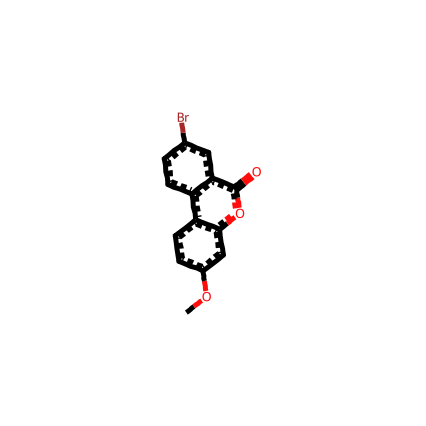 COc1ccc2c(c1)oc(=O)c1cc(Br)ccc12